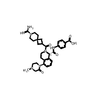 CN1CCN(c2cccc3c2CCN(C(=O)C2CC4(CCN(C(=N)N)CC4)C2)[C@@H]3C(=O)Nc2ccc(C(=O)O)cc2)C(=O)C1